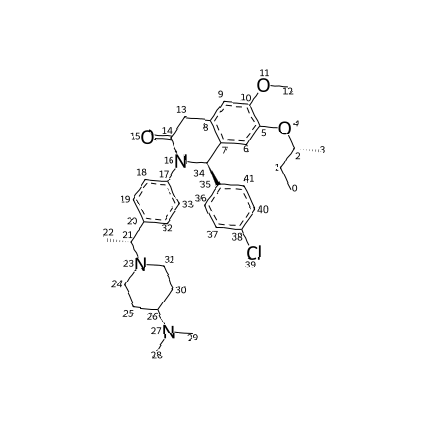 CC[C@@H](C)Oc1cc2c(cc1OC)CC(=O)N(c1ccc([C@@H](C)N3CCC(N(C)C)CC3)cc1)[C@@H]2c1ccc(Cl)cc1